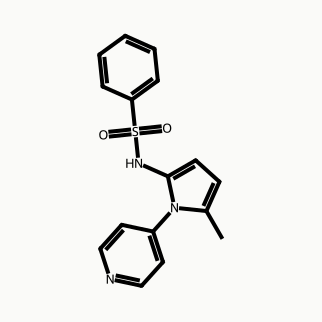 Cc1ccc(NS(=O)(=O)c2ccccc2)n1-c1ccncc1